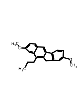 CCCc1c2c(cc3ccc(OC)cc13)-c1ccc(OC)cc1C2